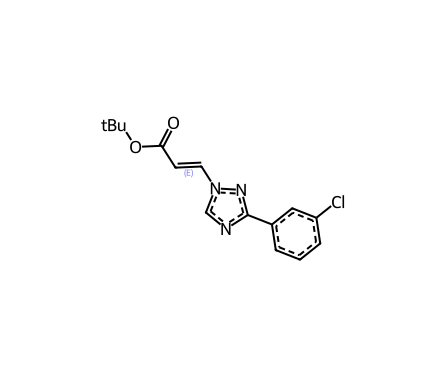 CC(C)(C)OC(=O)/C=C/n1cnc(-c2cccc(Cl)c2)n1